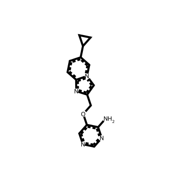 Nc1ncncc1OCc1cn2cc(C3CC3)ccc2n1